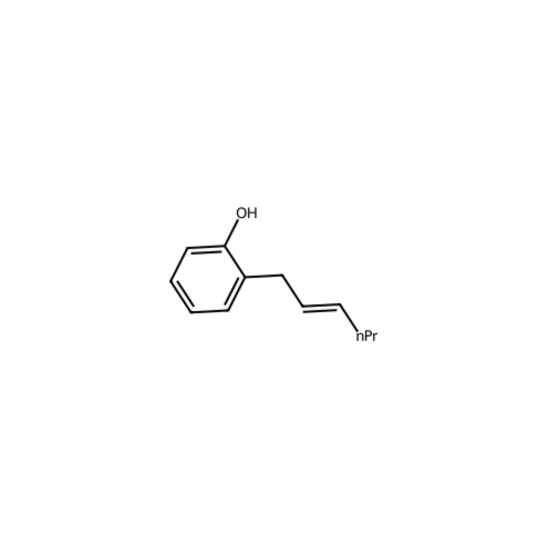 CCCC=CCc1ccccc1O